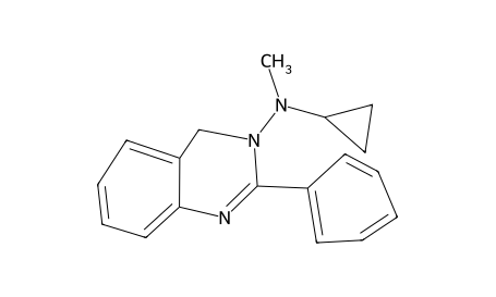 CN(C1CC1)N1Cc2ccccc2N=C1c1ccccc1